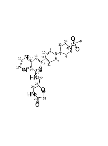 CS(=O)(=O)N1CCC(c2ccc(-c3cc4nccnc4c(NC[C@@H]4CNC(=O)CO4)n3)cc2)CC1